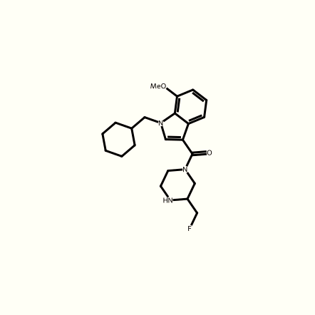 COc1cccc2c(C(=O)N3CCNC(CF)C3)cn(CC3CCCCC3)c12